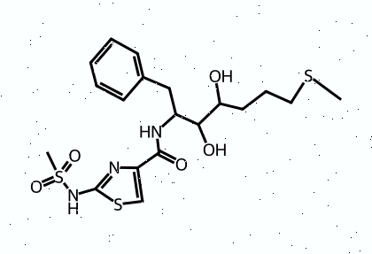 CSCCCC(O)C(O)C(Cc1ccccc1)NC(=O)c1csc(NS(C)(=O)=O)n1